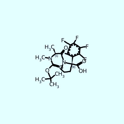 C[C@@H](C(=O)N1CCC[C@]1(C(=O)O)c1c(F)c(F)c(F)c(F)c1F)N(C)C(=O)OC(C)(C)C